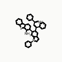 N/C=C(\C=C(c1ccccc1)c1cc2ccn(-c3ccccc3)c2cc1-c1ccc2c(sc3ccccc32)c1N)c1ccccc1